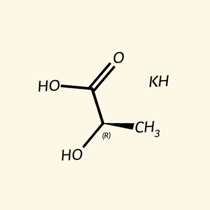 C[C@@H](O)C(=O)O.[KH]